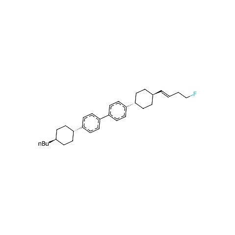 CCCC[C@H]1CC[C@H](c2ccc(-c3ccc([C@H]4CC[C@H](C=CCCF)CC4)cc3)cc2)CC1